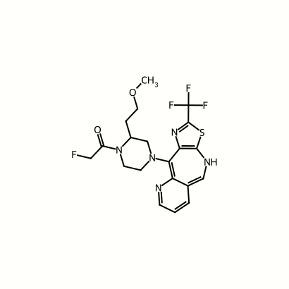 COCCC1CN(C2=c3ncccc3=CNc3sc(C(F)(F)F)nc32)CCN1C(=O)CF